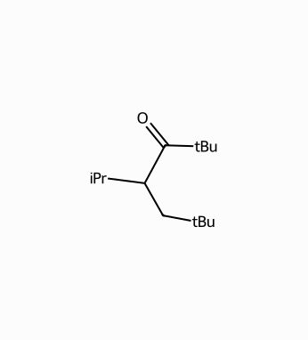 CC(C)C(CC(C)(C)C)C(=O)C(C)(C)C